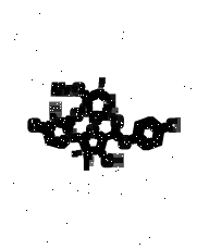 COC(=O)[C@H](C)/N=[P+](\[O-])OC(Oc1ccc(Cl)cc1)[C@@H]1OC(n2ccc(=O)[nH]c2=O)[C@](C)(F)[C@@H]1O